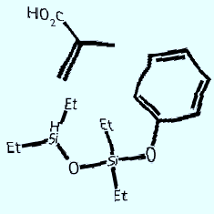 C=C(C)C(=O)O.CC[SiH](CC)O[Si](CC)(CC)Oc1ccccc1